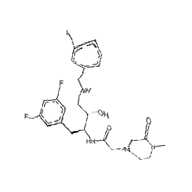 CN1CCN(CC(=O)N[C@@H](Cc2cc(F)cc(F)c2)[C@@H](O)CNCc2cccc(I)c2)CC1=O